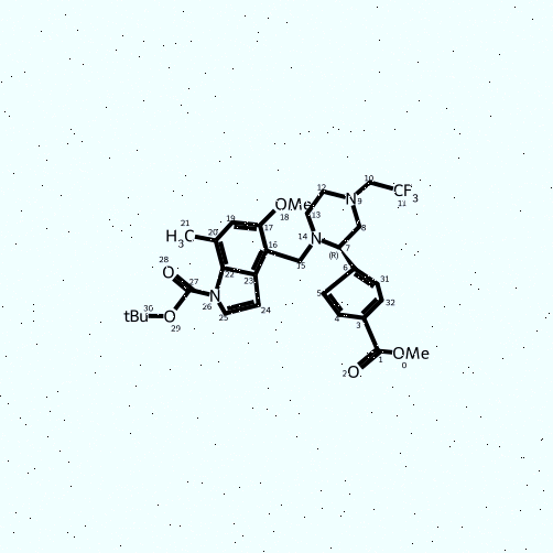 COC(=O)c1ccc([C@@H]2CN(CC(F)(F)F)CCN2Cc2c(OC)cc(C)c3c2ccn3C(=O)OC(C)(C)C)cc1